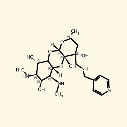 CN[C@@H]1[C@H](O)[C@H](NC)[C@H]2O[C@]3(O)[C@H](OC2[C@H]1O)O[C@H](C)C[C@@]3(O)CNCc1ccncc1